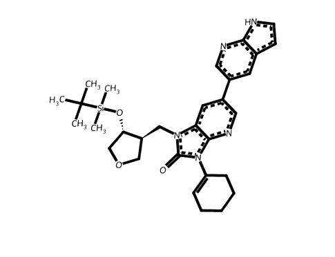 CC(C)(C)[Si](C)(C)O[C@H]1COC[C@@H]1Cn1c(=O)n(C2=CCCCC2)c2ncc(-c3cnc4[nH]ccc4c3)cc21